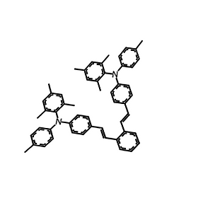 Cc1ccc(N(c2ccc(C=Cc3ccccc3C=Cc3ccc(N(c4ccc(C)cc4)c4c(C)cc(C)cc4C)cc3)cc2)c2c(C)cc(C)cc2C)cc1